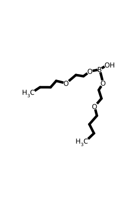 CCCCOCCOB(O)OCCOCCCC